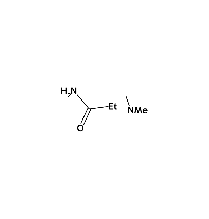 CCC(N)=O.CNC